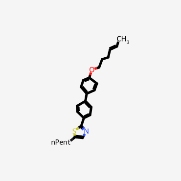 CC=CCCCOc1ccc(-c2ccc(-c3ncc(CCCCC)s3)cc2)cc1